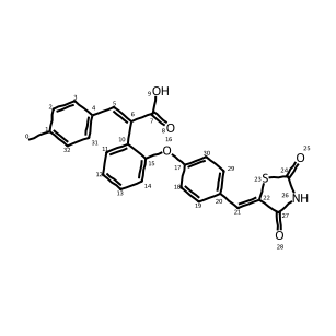 Cc1ccc(/C=C(/C(=O)O)c2ccccc2Oc2ccc(/C=C3\SC(=O)NC3=O)cc2)cc1